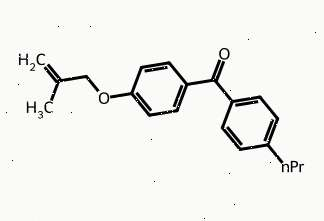 C=C(C)COc1ccc(C(=O)c2ccc(CCC)cc2)cc1